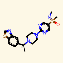 CN=S(C)(=O)c1cnc(N2CCN([C@@H](C)c3ccc4scnc4c3)CC2)nc1